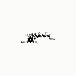 COc1cc(C)c(S(=O)(=O)N(C)CC(=O)NCCNC(=O)OC(C)(C)C)c(C)c1